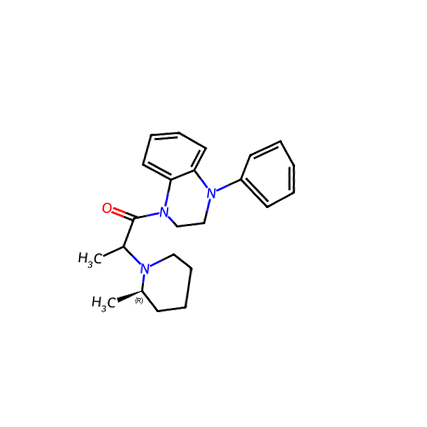 CC(C(=O)N1CCN(c2ccccc2)c2ccccc21)N1CCCC[C@H]1C